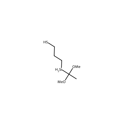 COC(C)(OC)[SiH2]CCCS